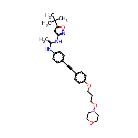 C=C(Nc1ccc(C#Cc2ccc(OCCCOP3CCOCC3)cc2)cc1)Nc1cc(C(C)(C)C)on1